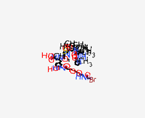 CCC(C)C(NC(=O)[C@H]1CCCCN1C)C(=O)N(C)C(CC(OC(C)=O)c1nc(C(=O)NC(Cc2ccc(O)c(NC(=O)CCOCCOCCNC(=O)/C=C/Br)c2)CC(C)C(=O)O)cs1)C(C)C